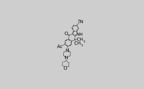 CC(=O)c1cc2c(cc1N1CCN(C3CCOCC3)CC1)C(C)(C)c1[nH]c3cc(C4C=N4)ccc3c1C2=O